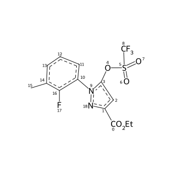 CCOC(=O)c1cc(OS(=O)(=O)C(F)(F)F)n(-c2cccc(C)c2F)n1